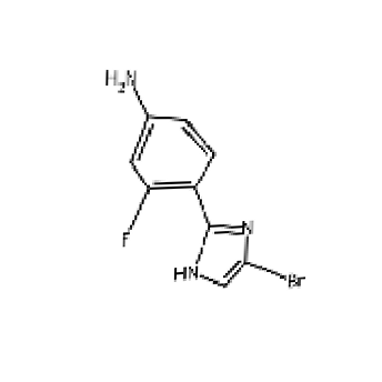 Nc1ccc(-c2nc(Br)c[nH]2)c(F)c1